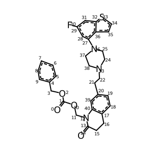 O=C(OCc1ccccc1)OCN1C(=O)CCc2ccc(CCN3CCN(c4cc(F)cc5sccc45)CC3)cc21